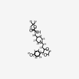 COc1ccc(C2OCCOC2CCN2CCC(CNC(=O)OC(C)(C)C)CC2)cc1